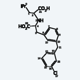 CC(C)CC(NC(Cc1cccc(Cc2cccc(Cl)c2)c1)C(=O)O)C(=O)O